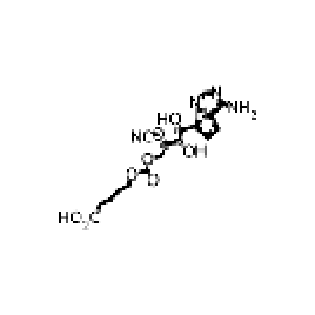 N#CO[C@H](COC(=O)OCCCCC(=O)O)[C@@H](O)[C@@H](O)c1ccc2c(N)ncnn12